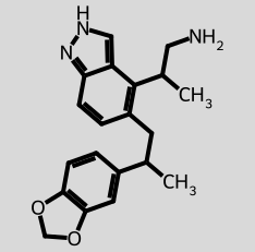 CC(Cc1ccc2n[nH]cc2c1C(C)CN)c1ccc2c(c1)OCO2